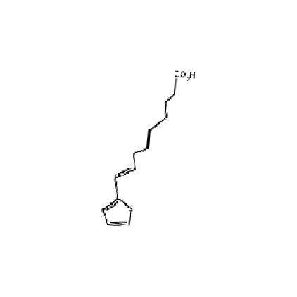 O=C(O)CCCCCCC=Cc1cccs1